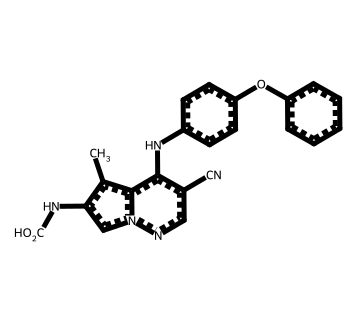 Cc1c(NC(=O)O)cn2ncc(C#N)c(Nc3ccc(Oc4ccccc4)cc3)c12